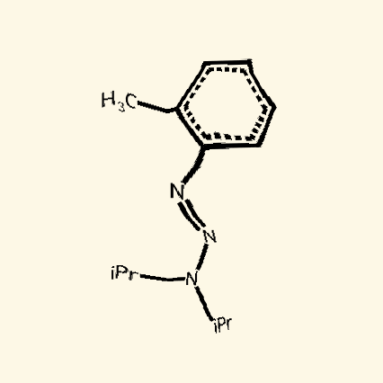 Cc1ccccc1N=NN(C(C)C)C(C)C